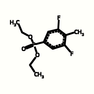 CCOP(=O)(OCC)c1cc(F)c(C)c(F)c1